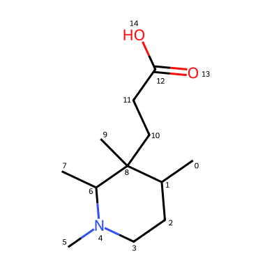 CC1CCN(C)C(C)C1(C)CCC(=O)O